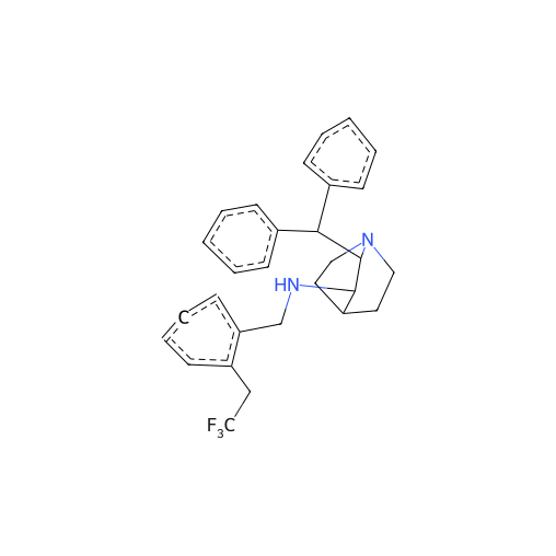 FC(F)(F)Cc1ccccc1CNC1C2CCN(CC2)C1C(c1ccccc1)c1ccccc1